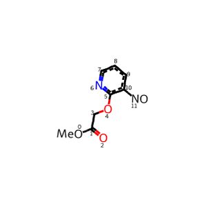 COC(=O)COc1ncccc1N=O